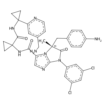 C[C@@]1(Cc2ccc(N)cc2)C(=O)N(c2cc(Cl)cc(Cl)c2)c2ncc(C(=O)NC3(C(=O)NC4(c5cc(CN)ccn5)CC4)CC3)n21